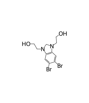 OCCN1CN(CCO)c2cc(Br)c(Br)cc21